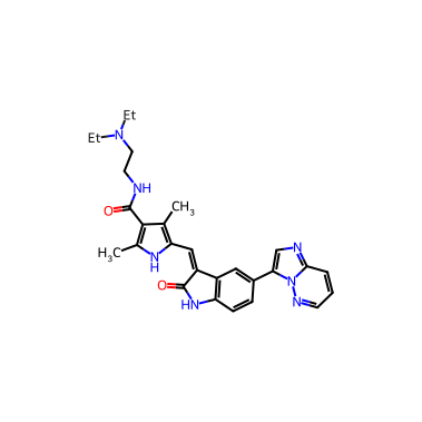 CCN(CC)CCNC(=O)c1c(C)[nH]c(/C=C2\C(=O)Nc3ccc(-c4cnc5cccnn45)cc32)c1C